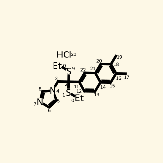 CCSC(Cn1ccnc1)(SCC)c1ccc2cc(C)c(C)cc2c1.Cl